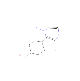 COC1CCC(C2=C(N)NC=CN2N)CC1